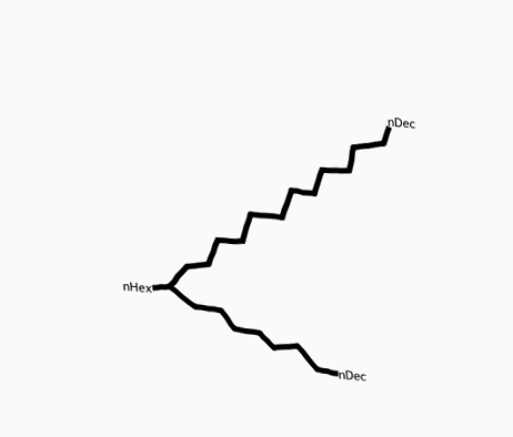 [CH2]CCCCCC(CCCCCCCCCCCCCCCCC)CCCCCCCCCCCCCCCCCCCCCC